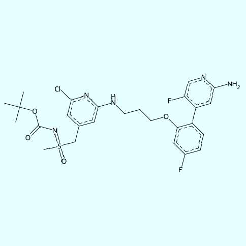 CC(C)(C)OC(=O)N=S(C)(=O)Cc1cc(Cl)nc(NCCCOc2cc(F)ccc2-c2cc(N)ncc2F)c1